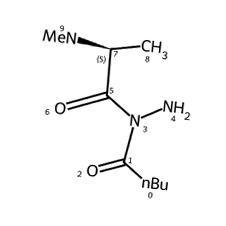 CCCCC(=O)N(N)C(=O)[C@H](C)NC